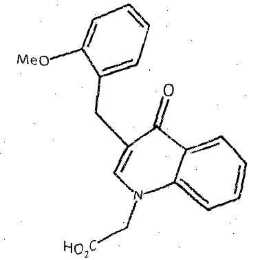 COc1ccccc1Cc1cn(CC(=O)O)c2ccccc2c1=O